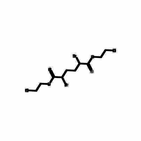 O=C(OCCCl)C(Br)CCC(Br)C(=O)OCCCl